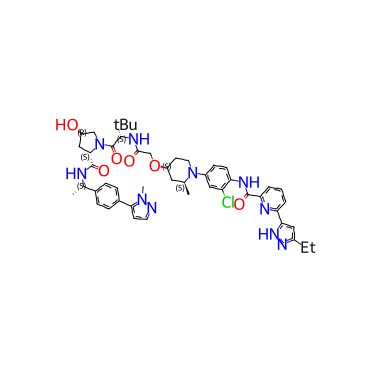 CCc1cc(-c2cccc(C(=O)Nc3ccc(N4CC[C@H](OCC(=O)N[C@H](C(=O)N5C[C@H](O)C[C@H]5C(=O)N[C@@H](C)c5ccc(-c6ccnn6C)cc5)C(C)(C)C)C[C@@H]4C)cc3Cl)n2)[nH]n1